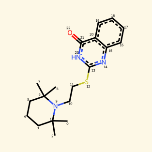 CC1(C)CCCC(C)(C)N1CCSc1nc2ccccc2c(=O)[nH]1